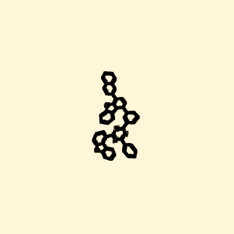 c1ccc(-c2nc(-c3cccc(-c4ccc(-c5ccc6ccccc6c5)c5oc6ccccc6c45)c3)nc(-c3cccc4oc5ccccc5c34)n2)cc1